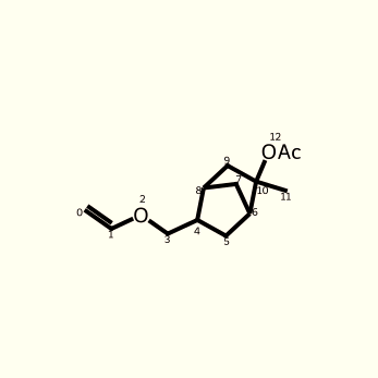 C=COCC1CC2CC1CC2(C)OC(C)=O